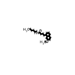 CCCCCCNC(=O)CCCc1cccc2ccc(OC)cc12